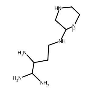 NC(N)C(N)CCNC1CNCCN1